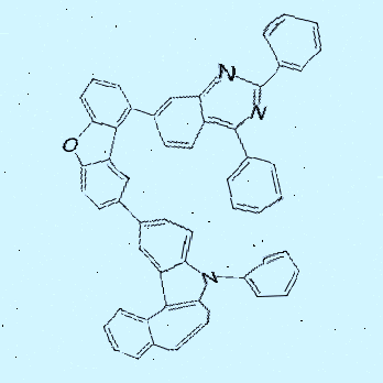 c1ccc(-c2nc(-c3ccccc3)c3ccc(-c4cccc5oc6ccc(-c7ccc8c(c7)c7c9ccccc9ccc7n8-c7ccccc7)cc6c45)cc3n2)cc1